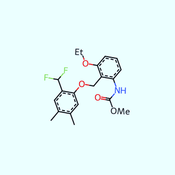 CCOc1cccc(NC(=O)OC)c1COc1cc(C)c(C)cc1C(F)F